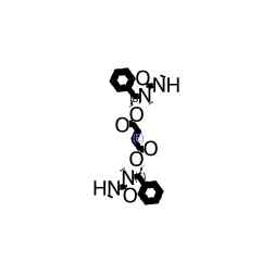 CNC(=O)N(C)[C@H](COC(=O)/C=C/C(=O)OC[C@H](c1ccccc1)N(C)C(=O)NC)c1ccccc1